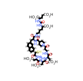 O=C(O)CCC(NC(=O)NC(CCCCNC(=O)C(Cc1ccc2ccccc2c1)NC(=O)C1CCN(C(=O)CCNC(=O)C(CC(=O)O)NC(=O)C(CC(=O)O)NC(=O)C(CC(=O)O)NC(=O)CS)CC1)C(=O)O)C(=O)O